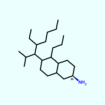 CCCCC(CC)C(C(C)C)C1CCC2C[C@H](N)CCC2C1CCC